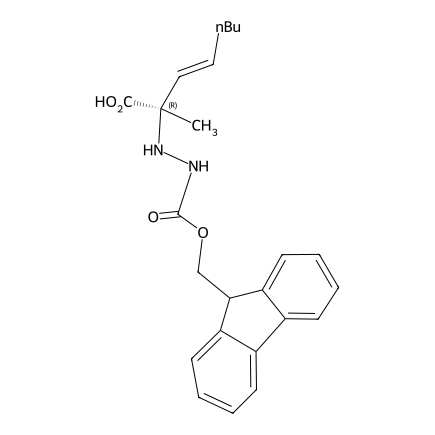 CCCCC=C[C@@](C)(NNC(=O)OCC1c2ccccc2-c2ccccc21)C(=O)O